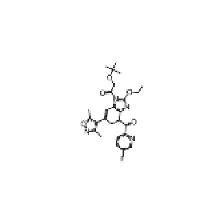 CCOc1nc2c(n1C(=O)COC(C)(C)C)C=C(c1c(C)noc1C)CC2C(=O)c1ccc(F)cn1